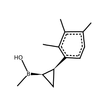 CB(O)[C@@H]1C[C@@H]1c1ccc(C)c(C)c1C